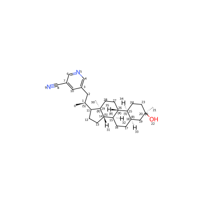 C[C@@H](Cc1cncc(C#N)c1)C1CC[C@H]2[C@@H]3CC[C@@H]4C[C@](C)(O)CC[C@@H]4[C@H]3CC[C@]12C